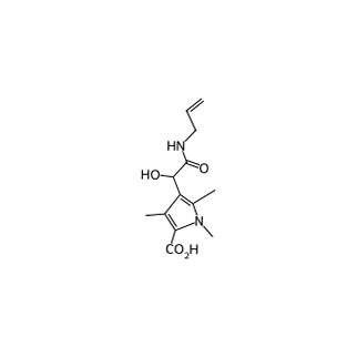 C=CCNC(=O)C(O)c1c(C)c(C(=O)O)n(C)c1C